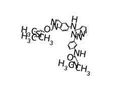 CN(C)CC(=O)Nc1cccc(-c2nc(Nc3ccc4c(cnn4COCC[Si](C)(C)C)c3)c3cccn3n2)c1